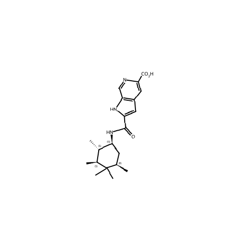 C[C@@H]1[C@@H](NC(=O)c2cc3cc(C(=O)O)ncc3[nH]2)C[C@@H](C)C(C)(C)[C@H]1C